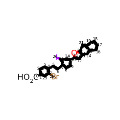 O=C(O)c1ccc(/C=C/c2ccc(-c3cc4cc5ccccc5cc4o3)cc2I)c(Br)c1